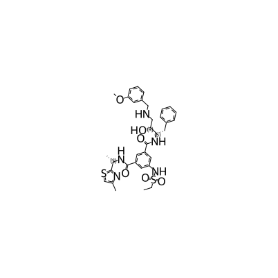 CCS(=O)(=O)Nc1cc(C(=O)N[C@@H](C)c2nc(C)cs2)cc(C(=O)N[C@@H](Cc2ccccc2)[C@H](O)CNCc2cccc(OC)c2)c1